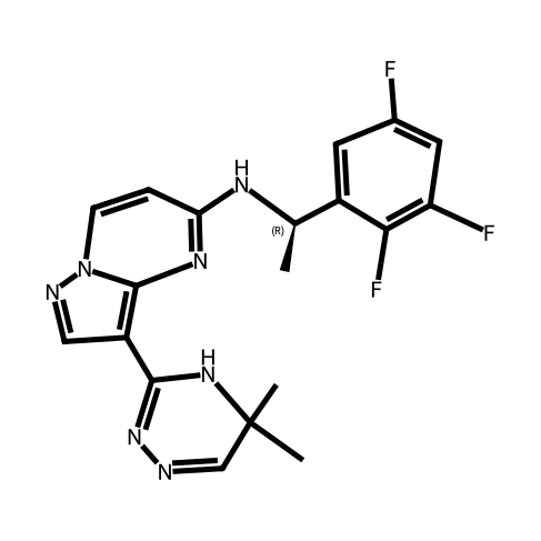 C[C@@H](Nc1ccn2ncc(C3=NN=CC(C)(C)N3)c2n1)c1cc(F)cc(F)c1F